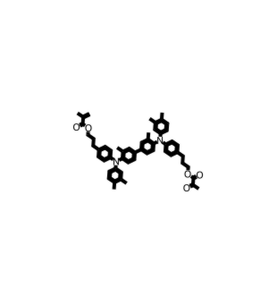 C=C(C)C(=O)OCCCc1ccc(N(c2ccc(C)c(C)c2)c2ccc(-c3ccc(N(c4ccc(CCCOC(=O)C(C)=O)cc4)c4ccc(C)c(C)c4)c(C)c3)cc2C)cc1